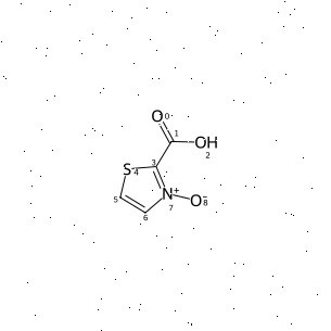 O=C(O)c1scc[n+]1[O-]